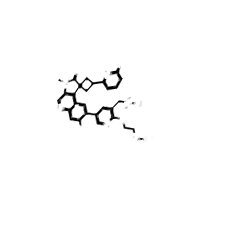 CC(C)NCCOc1ncc(-c2cc3c4c(cnc3cc2F)N(C)C(=O)C42CC(c3cccc(=O)[nH]3)C2)cc1CS(N)(=O)=O